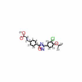 COC(=O)/C=C/c1ccc(-c2nc(-c3ccc(OC(C)C)c(Cl)c3)no2)cc1